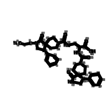 CCCN1CN(c2ccccc2)C2(CCN(C(=O)NCC(NC(=O)N3CCC4(CC3)C(=O)NCN4c3ccccc3)C(=O)O)CC2)C1=O